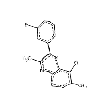 Cc1ccc2nc(C)c(-c3cccc(F)c3)nc2c1Cl